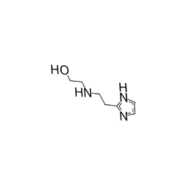 OCCNCCc1ncc[nH]1